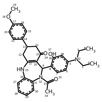 CCN(CC)c1ccc(C2C3=C(CC(c4ccc(OC)cc4)CC3=O)Nc3ccccc3N2C(C)=O)c(O)c1